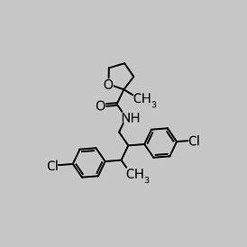 CC(c1ccc(Cl)cc1)C(CNC(=O)C1(C)CCCO1)c1ccc(Cl)cc1